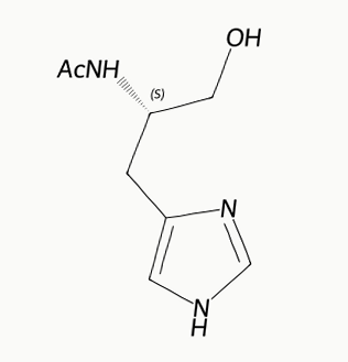 CC(=O)N[C@H](CO)Cc1c[nH]cn1